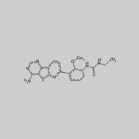 CCNC(=O)Nc1cccc(-c2ccc3c(c2)sc2c(N)ncnc23)c1OC